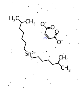 CC(C)CCCC[CH2][Sn+2][CH2]CCCCC(C)C.O=C([O-])/C=C\C(=O)[O-]